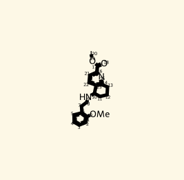 COc1ccccc1CCNC1CCCc2nc(C(=O)OI)ccc21